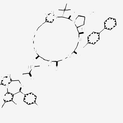 Cc1sc2c(c1C)C(c1ccc(Cl)cc1)=N[C@@H](CC(=O)NC[C@H]1NC(=O)CNC(=O)[C@@H](Cc3ccc(-c4ccccc4)cc3)NC(=O)[C@@H]3C[C@@H](O)CN3C(=O)[C@H](C(C)(C)C)n3cc(nn3)COCCNC1=O)c1nnc(C)n1-2